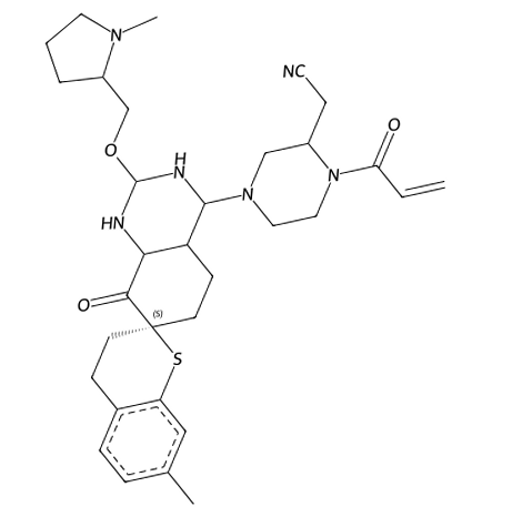 C=CC(=O)N1CCN(C2NC(OCC3CCCN3C)NC3C(=O)[C@@]4(CCc5ccc(C)cc5S4)CCC32)CC1CC#N